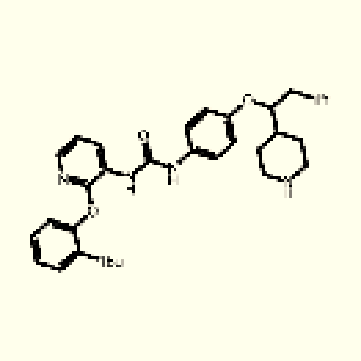 CC(C)CC(Oc1ccc(NC(=O)Nc2cccnc2Oc2ccccc2C(C)(C)C)cc1)C1CCNCC1